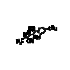 [C-]#[N+]C(=C(O)c1c(C#N)c(C)nn1CC)c1ccc(C(C)(C)C)cc1